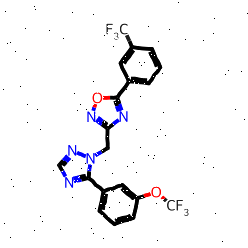 FC(F)(F)Oc1cccc(-c2ncnn2Cc2noc(-c3cccc(C(F)(F)F)c3)n2)c1